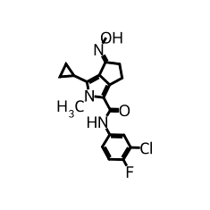 Cn1c(C(=O)Nc2ccc(F)c(Cl)c2)c2c(c1C1CC1)C(=NO)CC2